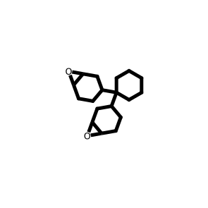 C1CCC(C2CCC3OC3C2)(C2CCC3OC3C2)CC1